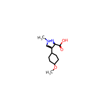 COC1CCC(c2cn(C)nc2C(=O)O)CC1